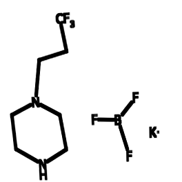 FB(F)F.FC(F)(F)CCN1CCNCC1.[K]